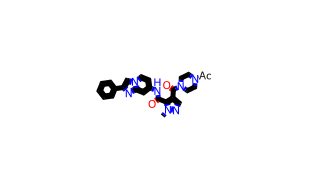 CC(=O)N1CCN(C(=O)c2cnn(C)c2C(=O)Nc2ccn3cc(-c4ccccc4)nc3c2)CC1